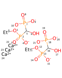 CCOP(=O)([O-])C(O)P(=O)([O-])[O-].CCOP(=O)([O-])C(O)P(=O)([O-])[O-].[Ca+2].[Ca+2].[Ca+2]